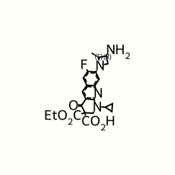 CCOC(=O)C1(C(=O)O)CN(C2CC2)c2nc3cc(N4C[C@@H](N)[C@@H]4C)c(F)cc3cc2C1=O